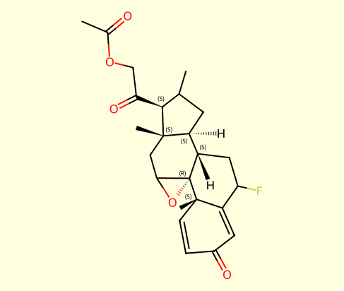 CC(=O)OCC(=O)[C@H]1C(C)C[C@H]2[C@@H]3CC(F)C4=CC(=O)C=C[C@]4(C)[C@]34OC4C[C@]12C